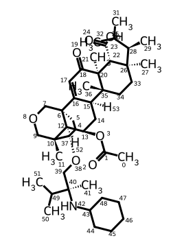 CC(=O)O[C@@H]1C[C@@]23COC[C@](C)([C@@H]2CC[C@H]2C3=CC(=O)[C@@]3(C)[C@H](C(=O)O)[C@@](C)([C@H](C)C(C)C)CC[C@]23C)[C@H]1OC[C@@](C)(NC1CCCCC1)C(C)C